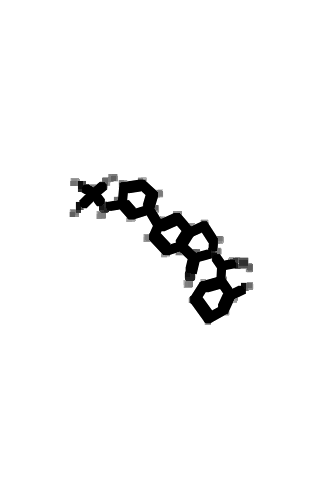 CC(c1ccccc1F)N1CCc2cc(-c3cccc(OC(F)(F)F)c3)ccc2C1=O